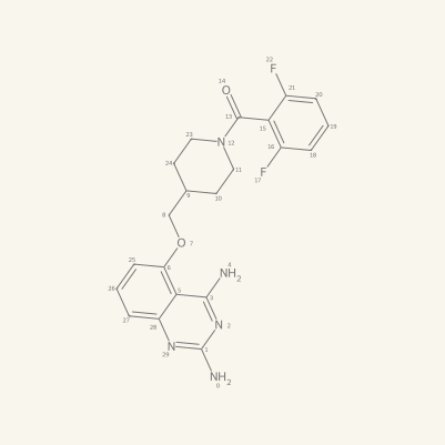 Nc1nc(N)c2c(OCC3CCN(C(=O)c4c(F)cccc4F)CC3)cccc2n1